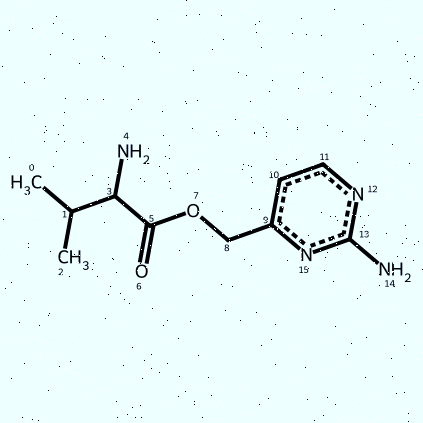 CC(C)C(N)C(=O)OCc1ccnc(N)n1